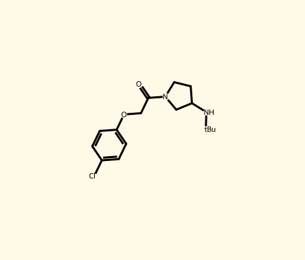 CC(C)(C)NC1CCN(C(=O)COc2ccc(Cl)cc2)C1